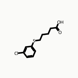 O=C(O)CCCCSc1cccc(Cl)c1